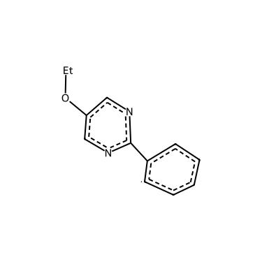 CCOc1cnc(-c2[c]cccc2)nc1